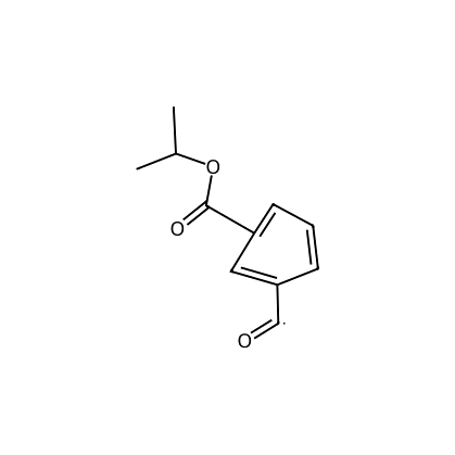 CC(C)OC(=O)c1cccc([C]=O)c1